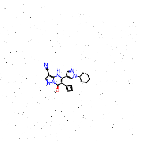 N#Cc1cnn2c(=O)c(C3=CC=C3)c(-c3cnn(C4CCCCC4)c3)[nH]c12